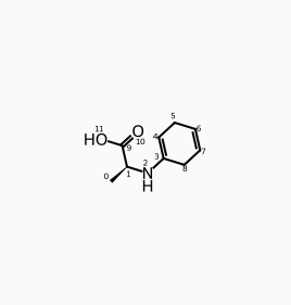 C[C@H](NC1=CCC=CC1)C(=O)O